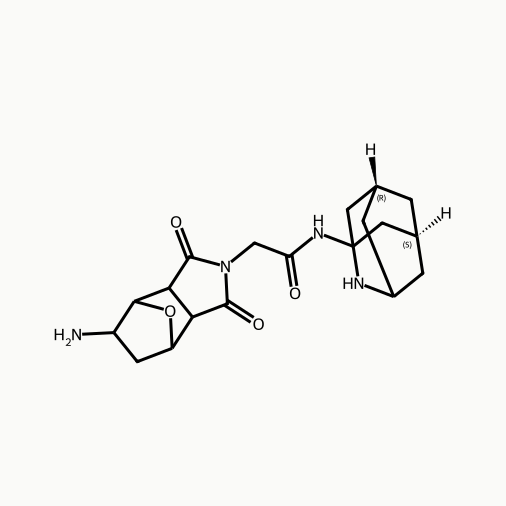 NC1CC2OC1C1C(=O)N(CC(=O)NC34C[C@@H]5CC(C[C@@H](C5)C3)N4)C(=O)C21